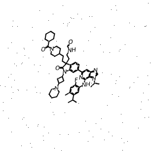 Cc1cc(F)c(Nc2nc(-c3ccc4c(c3)N(C3CC(N5CCCCC5)C3)C(=O)C4(CCNC=O)CCC3CCN(C(=O)C4CCCCC4)CC3)cc3ncn(C(C)C)c23)cc1C(C)C